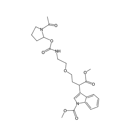 COC(=O)C(CCOCCNC(=O)OC1CCCN1C(C)=O)c1cn(C(=O)OC)c2ccccc12